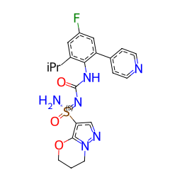 CC(C)c1cc(F)cc(-c2ccncc2)c1NC(=O)N=[S@](N)(=O)c1cnn2c1OCCC2